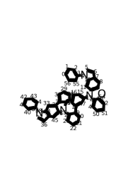 c1ccc(-n2ccc3cc4c(cc32)N(c2cccc(-c3ccccc3-n3c5ccccc5c5cc6c(ccn6-c6ccccc6)cc53)c2)c2ccccc2O4)cc1